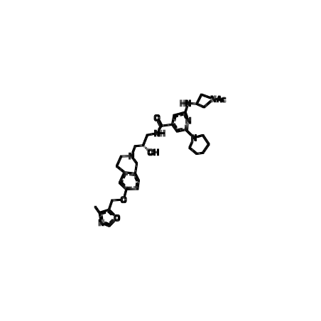 CC(=O)N1CC(Nc2cc(C(=O)NC[C@H](O)CN3CCc4cc(OCc5ocnc5C)ccc4C3)cc(N3CCCCC3)n2)C1